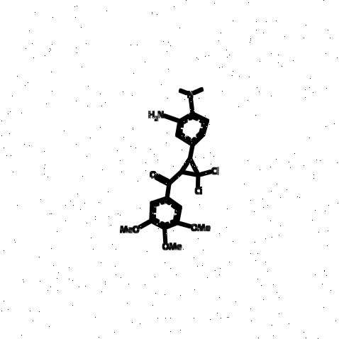 COc1cc(C(=O)C2C(c3ccc(N(C)C)c(N)c3)C2(Cl)Cl)cc(OC)c1OC